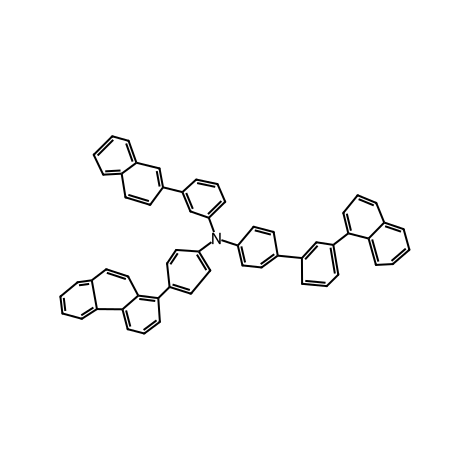 c1cc(-c2ccc(N(c3ccc(-c4cccc5c4ccc4ccccc45)cc3)c3cccc(-c4ccc5ccccc5c4)c3)cc2)cc(-c2cccc3ccccc23)c1